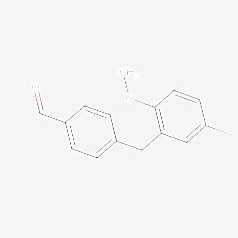 COc1ccc(F)cc1Cc1ccc(C=O)cc1